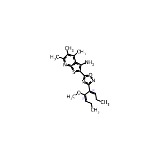 CC/C=C(\C(=C/CC)OC)c1noc(-c2sc3nc(C)c(C)c(C)c3c2N)n1